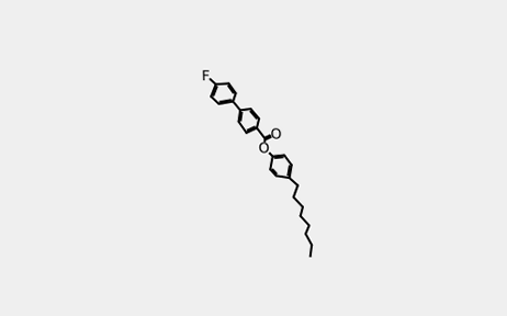 CCCCCCCCc1ccc(OC(=O)c2ccc(-c3ccc(F)cc3)cc2)cc1